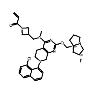 C=CC(=O)N1CC(CN(C)c2nc(OC[C@@]34CCCN3C[C@H](F)C4)nc3c2CCN(c2cccc4cccc(Cl)c24)C3)C1